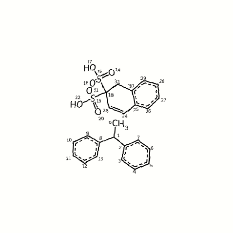 CC(c1ccccc1)c1ccccc1.O=S(=O)(O)C1(S(=O)(=O)O)C=Cc2ccccc2C1